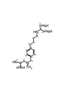 CCCCCCCC(CCCCCCC)NCCCOc1ccc(CN(C)CC(CCCC)CCCCC)cn1